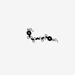 O=C(COC(=O)c1ccc([N+](=O)[O-])cc1)OCCCOC(=O)COC(=O)c1ccc([N+](=O)[O-])cc1